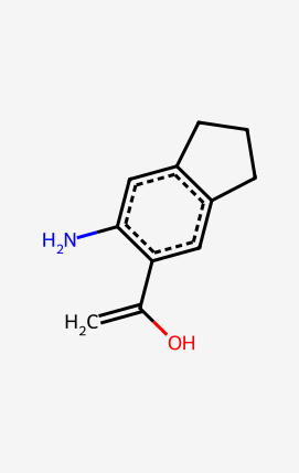 C=C(O)c1cc2c(cc1N)CCC2